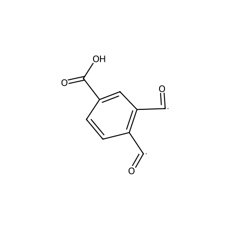 O=[C]c1ccc(C(=O)O)cc1[C]=O